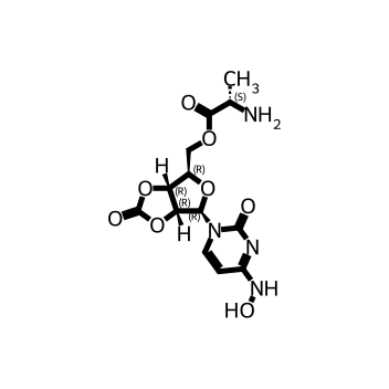 C[C@H](N)C(=O)OC[C@H]1O[C@@H](n2ccc(NO)nc2=O)[C@@H]2OC(=O)O[C@@H]21